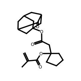 C=C(C)C(=O)OC1(CC(=O)OC23CC4CC(C2)C(=O)C(C4)C3)CCCC1